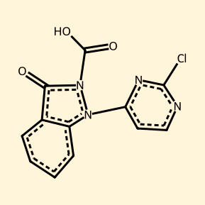 O=C(O)n1c(=O)c2ccccc2n1-c1ccnc(Cl)n1